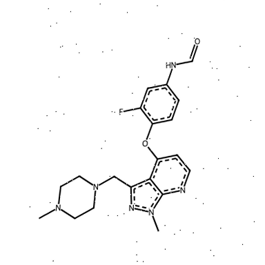 CN1CCN(Cc2nn(C)c3nccc(Oc4ccc(NC=O)cc4F)c23)CC1